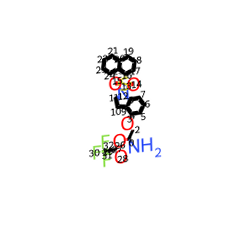 NC(COc1cccc2c1ccn2S(=O)(=O)c1cccc2ccccc12)OC(=O)C(F)(F)F